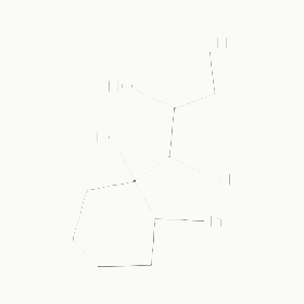 CC(C)C1CCCCC1(C)C(O)C(O)CO